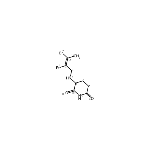 CC/C(CNC1CCC(=O)NC1=O)=C(/C)Br